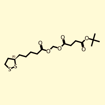 CC(C)(C)OC(=O)CCC(=O)OCOC(=O)CCCC[C@@H]1CCSS1